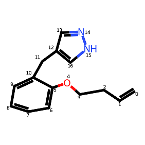 C=CCCOc1ccccc1Cc1cn[nH]c1